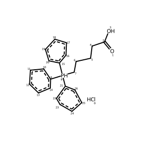 Cl.O=C(O)CCCC[PH](c1ccccc1)(c1ccccc1)c1ccccc1